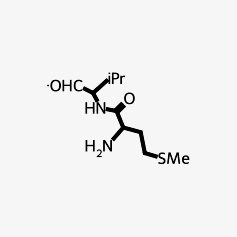 CSCCC(N)C(=O)NC([C]=O)C(C)C